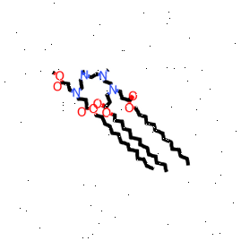 CCCCCCCCCCCCCCOC(=O)CCN(CCC(=O)OC)CCN(C)CCN(C)CCN(CCC(=O)OCCCCCCCCCCCCCC)CCC(=O)OCCCCCCCCCCCCCC